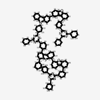 c1ccc(-c2nc(-c3ccccc3)nc(-c3cccc(-c4cccc5oc6ccc(-c7ccc8c(c7)c7ccccc7n8-c7ccc(-c8nc(-c9ccccc9)nc(-c9cccc(-c%10ccc(-c%11ccccc%11)c%11sc%12c(-c%13cccc%14c%13oc%13cccc(-c%15cccc(-c%16nc(-c%17ccccc%17)nc(-c%17ccccc%17)n%16)c%15)c%13%14)cccc%12c%10%11)c9)n8)cc7)cc6c45)c3)n2)cc1